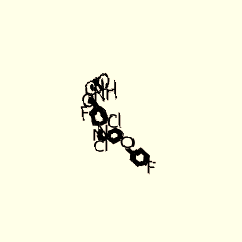 CS(=O)(=O)NC(=O)c1cc(Cl)c(-n2nc(Cl)c3cc(OCc4ccc(F)cc4)ccc32)cc1F